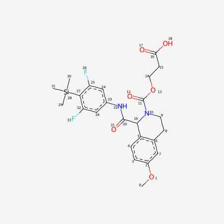 COc1ccc2c(c1)CCN(C(=O)OCCC(=O)O)C2C(=O)Nc1cc(F)c([Si](C)(C)C)c(F)c1